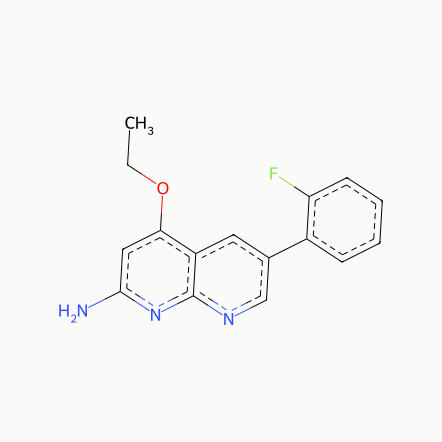 CCOc1cc(N)nc2ncc(-c3ccccc3F)cc12